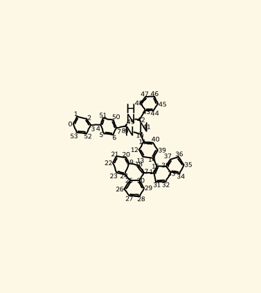 c1ccc(-c2ccc(C3=NC(c4ccc(-c5c(-c6cc7ccccc7c7ccccc67)ccc6ccccc56)cc4)=NC(c4ccccc4)N3)cc2)cc1